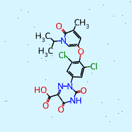 Cc1cc(Oc2c(Cl)cc(-n3nc(C(=O)O)c(=O)[nH]c3=O)cc2Cl)cn(C(C)C)c1=O